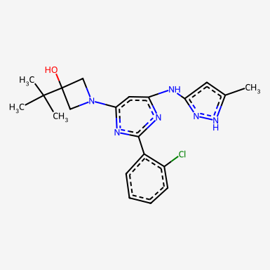 Cc1cc(Nc2cc(N3CC(O)(C(C)(C)C)C3)nc(-c3ccccc3Cl)n2)n[nH]1